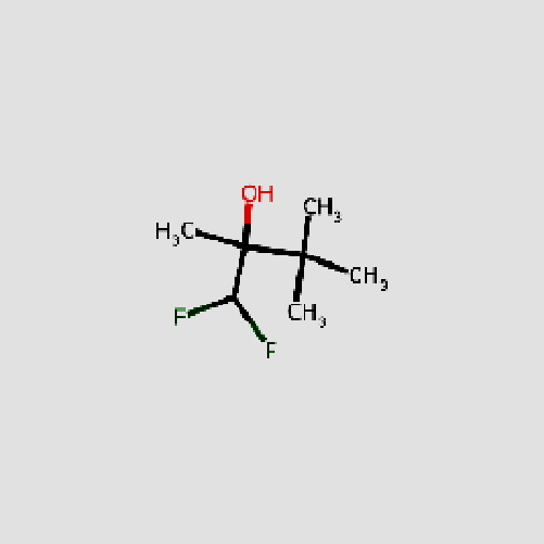 CC(C)(C)C(C)(O)C(F)F